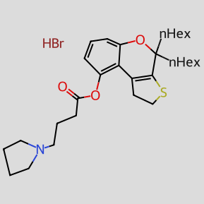 Br.CCCCCCC1(CCCCCC)Oc2cccc(OC(=O)CCCN3CCCC3)c2C2=C1SCC2